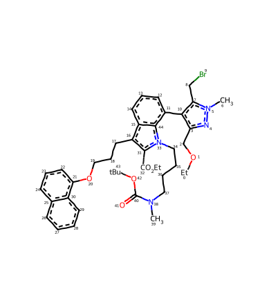 CCOCc1nn(C)c(CBr)c1-c1cccc2c(CCCOc3cccc4ccccc34)c(C(=O)OCC)n(CCCCN(C)C(=O)OC(C)(C)C)c12